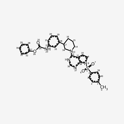 Cc1ccc(S(=O)(=O)n2ccc3c(N4CCCC(c5cccc(NC(=O)Oc6ccccc6)c5)C4)ncnc32)cc1